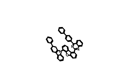 C1=CC(c2ccccc2)Cc2c1c1ccccc1n2-c1cccc2c1oc1cccc(-c3nc(-c4ccc(-c5ccccc5)cc4)c4ccccc4n3)c12